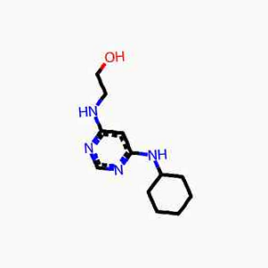 OCCNc1cc(NC2CCCCC2)ncn1